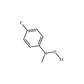 CCON(C)c1ccc(F)cc1